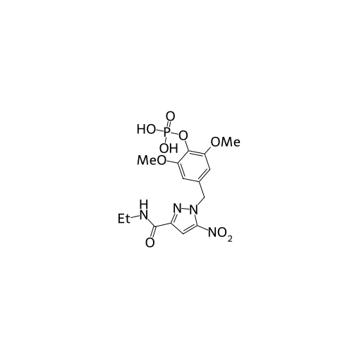 CCNC(=O)c1cc([N+](=O)[O-])n(Cc2cc(OC)c(OP(=O)(O)O)c(OC)c2)n1